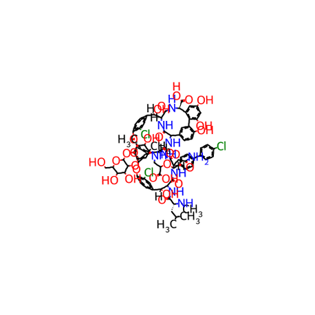 CN[C@H](CC(C)C)C(=O)NC1C(=O)N[C@@H](CC(N)=O)C(=O)N[C@H]2C(=O)NC3C(=O)N[C@H](C(=O)N[C@@H](C(=O)O)c4cc(O)cc(O)c4-c4cc3ccc4O)[C@H](O)c3ccc(c(Cl)c3)Oc3cc2cc(c3OC2OC(CO)C(O)C(O)C2OC2CC(C)(NCC(OCc3ccc(-c4ccc(Cl)cc4)cc3)C(=O)O)C(O)C(C)O2)Oc2ccc(cc2Cl)[C@H]1O